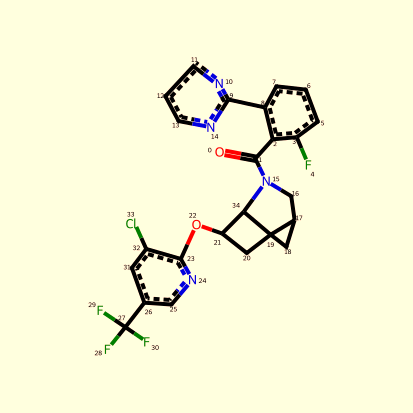 O=C(c1c(F)cccc1-c1ncccn1)N1CC2CC23CC(Oc2ncc(C(F)(F)F)cc2Cl)C13